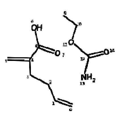 C=CCCC(=C)C(=O)O.CCOC(N)=O